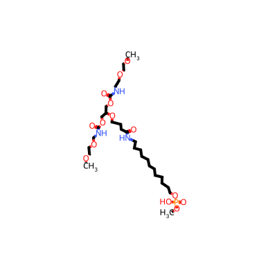 COCCOCCNC(=O)OCC(COC(=O)NCOCCOC)OCCCC(=O)NCCCCCCCCCCCCOP(=O)(O)OC